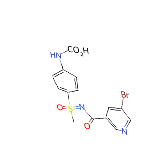 CS(=O)(=NC(=O)c1cncc(Br)c1)c1ccc(NC(=O)O)cc1